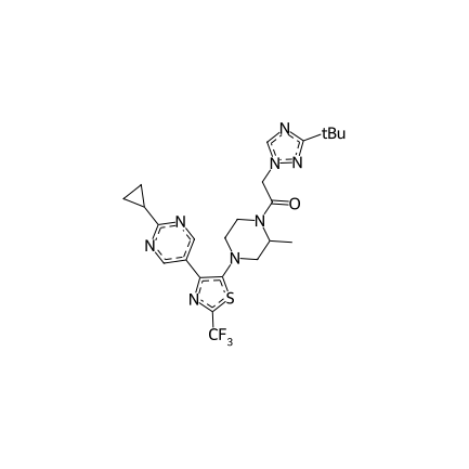 CC1CN(c2sc(C(F)(F)F)nc2-c2cnc(C3CC3)nc2)CCN1C(=O)Cn1cnc(C(C)(C)C)n1